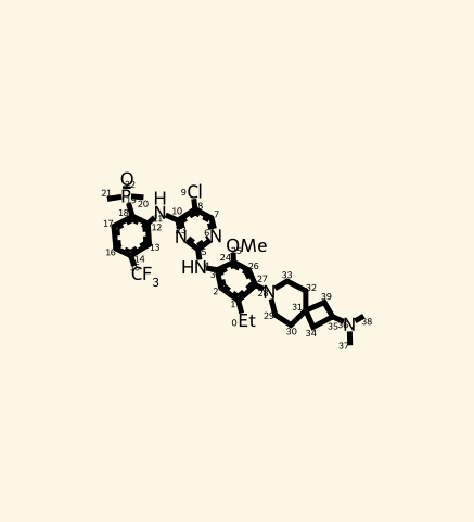 CCc1cc(Nc2ncc(Cl)c(Nc3cc(C(F)(F)F)ccc3P(C)(C)=O)n2)c(OC)cc1N1CCC2(CC1)CC(N(C)C)C2